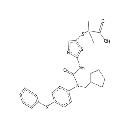 CC(C)(Sc1cnc(NC(=O)N(CC2CCCC2)c2ccc(Sc3ccccc3)cc2)s1)C(=O)O